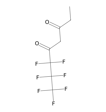 CCC(=O)CC(=O)C(F)(F)C(F)(F)C(F)(F)F